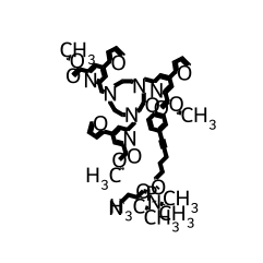 CCOC(=O)c1cc(-c2ccco2)cc(CN2CCCN(Cc3cc(-c4ccco4)cc(C(=O)OCC)n3)CC(Oc3ccc(C#CCCCCOP(OCCC#N)N(C(C)C)C(C)C)cc3)CN(Cc3cc(-c4ccco4)cc(C(=O)OCC)n3)CCC2)n1